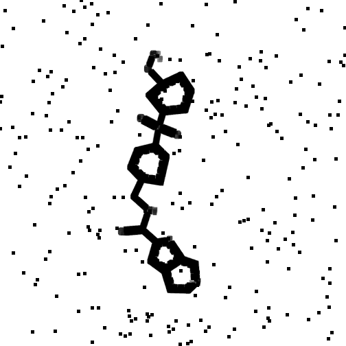 O=C(NCc1ccc(S(=O)(=O)c2cccc(OC(F)(F)F)c2)cc1)c1cc2ccncc2s1